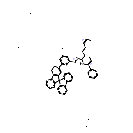 C/C=C\CCCC(/N=C/c1cccc(C2=CC3=C(CC2)c2ccccc2C32c3ccccc3-c3ccccc32)c1)N/C(=C\C)c1ccccc1